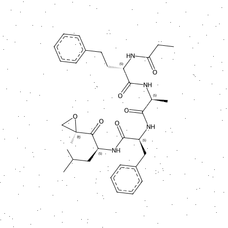 CCC(=O)N[C@@H](CCc1ccccc1)C(=O)N[C@@H](C)C(=O)N[C@@H](Cc1ccccc1)C(=O)N[C@@H](CC(C)C)C(=O)[C@@]1(C)CO1